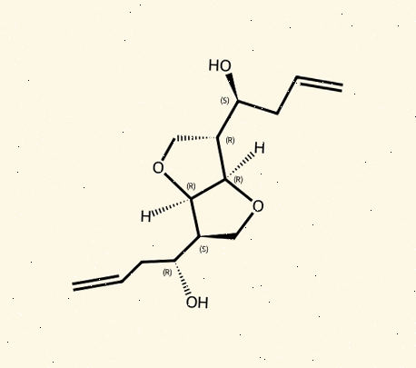 C=CC[C@@H](O)[C@@H]1CO[C@@H]2[C@@H]([C@@H](O)CC=C)CO[C@H]12